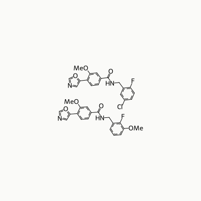 COc1cc(C(=O)NCc2cc(Cl)ccc2F)ccc1-c1cnco1.COc1cc(C(=O)NCc2cccc(OC)c2F)ccc1-c1cnco1